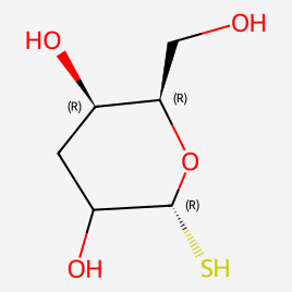 OC[C@H]1O[C@H](S)C(O)C[C@H]1O